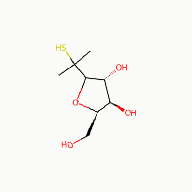 CC(C)(S)C1O[C@H](CO)[C@H](O)[C@H]1O